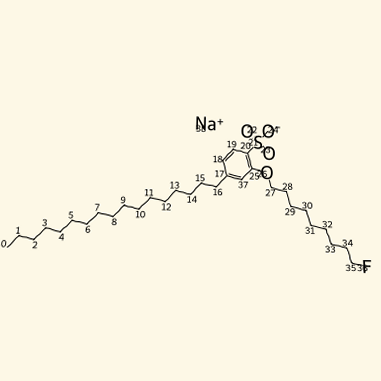 CCCCCCCCCCCCCCCCCc1ccc(S(=O)(=O)[O-])c(OCCCCCCCCCF)c1.[Na+]